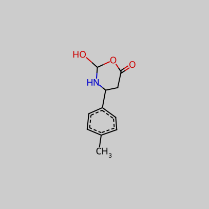 Cc1ccc(C2CC(=O)OC(O)N2)cc1